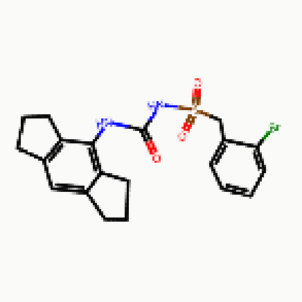 O=C(Nc1c2c(cc3c1CCC3)CCC2)NS(=O)(=O)Cc1ccccc1Br